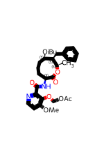 COc1ccnc(C(=O)N[C@H]2CCC[C@H](OCC(C)C)[C@@H](Cc3ccccc3)[C@H](C)OC2=O)c1OCOC(C)=O